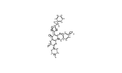 CN1CCN(c2cc3c(cc2F)c(=O)c(-c2noc(C(C)(C)c4ccccc4)n2)cn3Cc2ccc(C(F)(F)F)cc2F)CC1